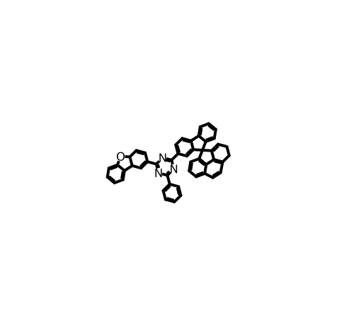 C1=CC2Oc3ccccc3C2C=C1c1nc(-c2ccccc2)nc(-c2ccc3c(c2)C2(C4=CCCc5ccc6cccc2c6c54)c2ccccc2-3)n1